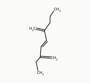 C=C(/C=C/C(=C)CCC)CC